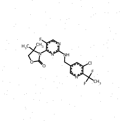 CC(F)(F)c1ncc(CNc2ncc(F)c(N3C(=O)OCC3(C)C)n2)cc1Cl